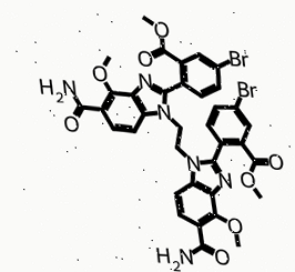 COC(=O)c1cc(Br)ccc1-c1nc2c(OC)c(C(N)=O)ccc2n1CCn1c(-c2ccc(Br)cc2C(=O)OC)nc2c(OC)c(C(N)=O)ccc21